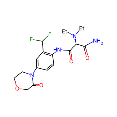 CCN(CC)[C@@H](C(N)=O)C(=O)Nc1ccc(N2CCOCC2=O)cc1C(F)F